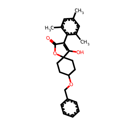 Cc1cc(C)c(C2=C(O)C3(CCC(OCc4ccccc4)CC3)OC2=O)c(C)c1